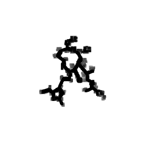 C=Cc1nn(C)cc1/C=C/N1/N=C/C=C\C(OCC)=N/[C@H](CC)/C=C(/C(C)=C/N=C(\C)C(F)(F)F)C1=O